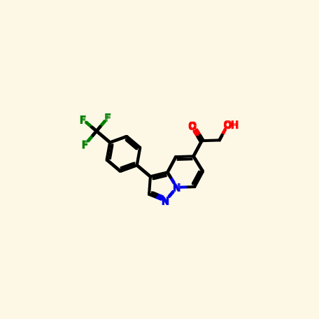 O=C(CO)c1ccn2ncc(-c3ccc(C(F)(F)F)cc3)c2c1